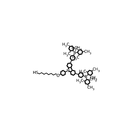 Cc1cc(C)c(B(c2ccc(-c3ccc4c(c3)c3cc(-c5ccc(B(c6c(C)cc(C)cc6C)c6c(C)cc(C)cc6C)cc5)ccc3n4-c3ccc(OCCCCCCCCS)cc3)cc2)c2c(C)cc(C)cc2C)c(C)c1